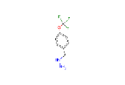 NNCc1ccc(OC(F)(F)F)cc1